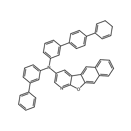 C1=CC(c2ccc(-c3cccc(N(c4cccc(-c5ccccc5)c4)c4cnc5oc6cc7ccccc7cc6c5c4)c3)cc2)=CCC1